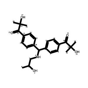 CC(O)CNC(c1ccc(C(=O)C(C)(C)O)cc1)c1ccc(C(=O)C(C)(C)O)cc1